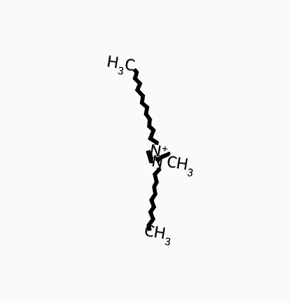 CCCCCCCCCCCCCC[n+]1ccn(CCCCCCCCCCC)c1CC